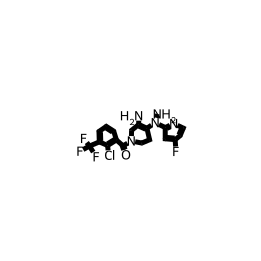 NC1=C(N(N)c2cc(F)ccn2)CCN(C(=O)c2cccc(C(F)(F)F)c2Cl)C1